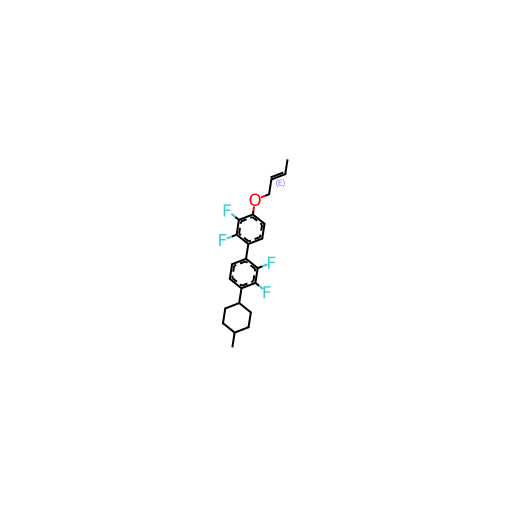 C/C=C/COc1ccc(-c2ccc(C3CCC(C)CC3)c(F)c2F)c(F)c1F